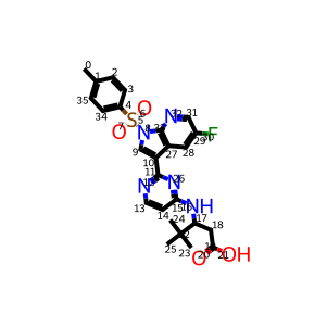 Cc1ccc(S(=O)(=O)n2cc(-c3nccc(NC(CC(=O)O)C(C)(C)C)n3)c3cc(F)cnc32)cc1